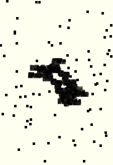 CC[C@H](C)[C@H](NC(=O)O)C(=O)N1C[C@@H](COC)C[C@H]1c1ncc(-c2ccc3c(c2)COc2cc4c(ccc5nc([C@@H]6CC[C@H](C)N6C(=O)[C@@H](NC(=O)OC)C(C)C)[nH]c54)cc2-3)[nH]1.COC[C@@H]1CN(C(=O)O)[C@](c2ncc(-c3ccc4c(c3)COc3cc5c(ccc6nc([C@@H]7CC[C@H](C)N7C(=O)[C@@H](NC(=O)OC)C(C)C)[nH]c65)cc3-4)[nH]2)(C(C)(C)C)C1